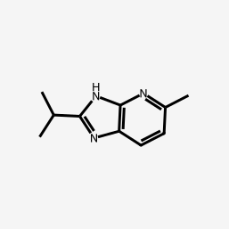 Cc1ccc2nc(C(C)C)[nH]c2n1